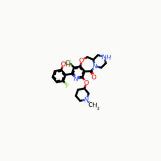 CN1CCCC(Oc2nc(-c3c(O)cccc3F)c(Cl)c3c2C(=O)N2CCNCC2CO3)C1